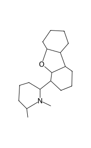 CC1CCCC(C2CCCC3C4CCCCC4OC32)N1C